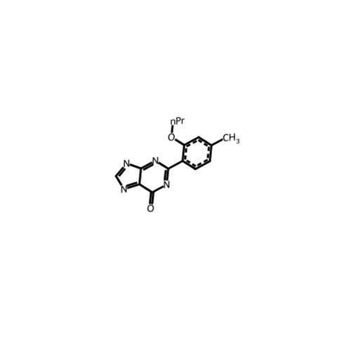 CCCOc1cc(C)ccc1C1=NC(=O)C2=NC=NC2=N1